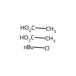 CC(=O)O.CC(=O)O.CCCCCl